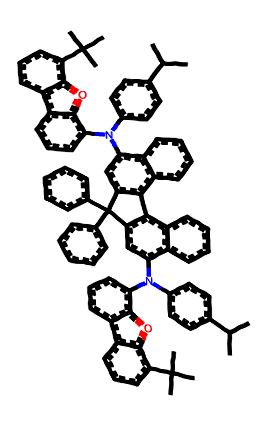 CC(C)c1ccc(N(c2cc3c(c4ccccc24)-c2c(cc(N(c4ccc(C(C)C)cc4)c4cccc5c4oc4c(C(C)(C)C)cccc45)c4ccccc24)C3(c2ccccc2)c2ccccc2)c2cccc3c2oc2c(C(C)(C)C)cccc23)cc1